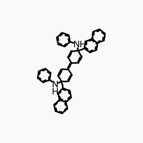 C1=CC(Nc2ccccc2)(c2ccc3ccccc3c2)C=CC1=C1C=CC(Nc2ccccc2)(c2ccc3ccccc3c2)C=C1